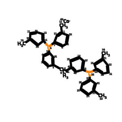 Cc1cccc(P(c2cccc(C)c2)c2cccc(C)c2)c1.Cc1cccc(P(c2cccc(C)c2)c2cccc(C)c2)c1.[Co]